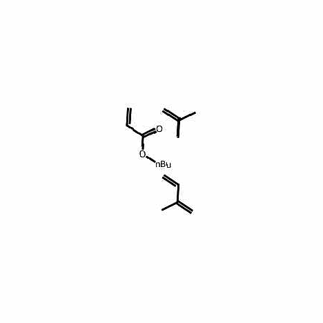 C=C(C)C.C=CC(=C)C.C=CC(=O)OCCCC